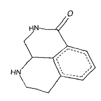 O=C1NCC2NCCc3cccc1c32